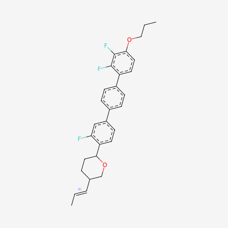 C/C=C/C1CCC(c2ccc(-c3ccc(-c4ccc(OCCC)c(F)c4F)cc3)cc2F)OC1